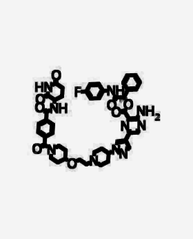 Nc1ncc(-c2cnn(C3CCN(CCOC4CCN(C(=O)c5ccc(C(=O)NC6CCC(=O)NC6=O)cc5)CC4)CC3)c2)nc1C(=O)O[C@@H](C(=O)Nc1ccc(F)cc1)c1ccccc1